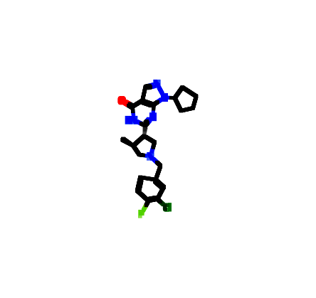 C[C@@H]1CN(Cc2ccc(F)c(Cl)c2)C[C@H]1c1nc2c(cnn2C2CCCC2)c(=O)[nH]1